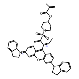 C=C(C)C(=O)OC1CCN(S(=O)(=O)C(=C)/C(=C\C)c2c3cc/c(=[N+]4/CCc5ccccc54)cc-3oc3cc(N4CCc5ccccc54)ccc23)CC1